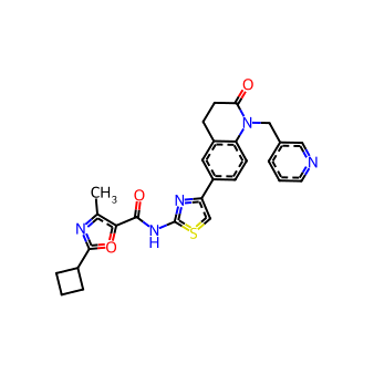 Cc1nc(C2CCC2)oc1C(=O)Nc1nc(-c2ccc3c(c2)CCC(=O)N3Cc2cccnc2)cs1